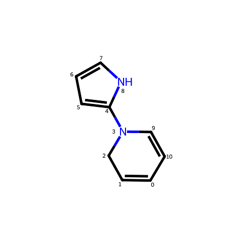 C1=CCN(c2ccc[nH]2)C=C1